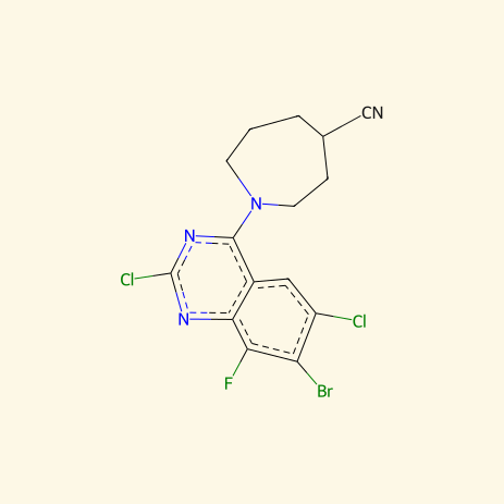 N#CC1CCCN(c2nc(Cl)nc3c(F)c(Br)c(Cl)cc23)CC1